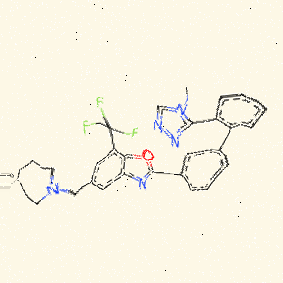 C[C@@H]1CCCN(Cc2cc(C(F)(F)F)c3oc(-c4cccc(-c5ccccc5-c5nncn5C)c4)nc3c2)C1